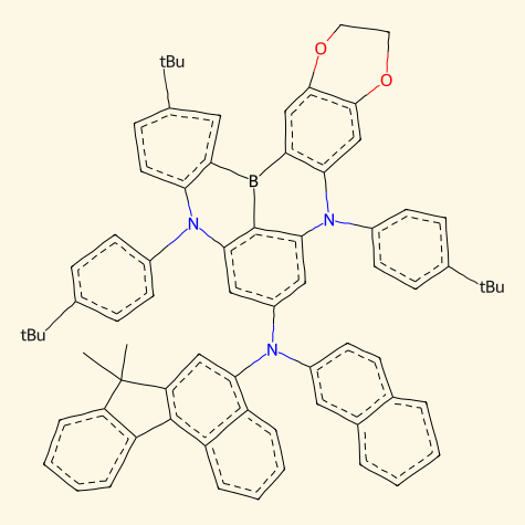 CC(C)(C)c1ccc(N2c3ccc(C(C)(C)C)cc3B3c4cc5c(cc4N(c4ccc(C(C)(C)C)cc4)c4cc(N(c6ccc7ccccc7c6)c6cc7c(c8ccccc68)-c6ccccc6C7(C)C)cc2c43)OCCO5)cc1